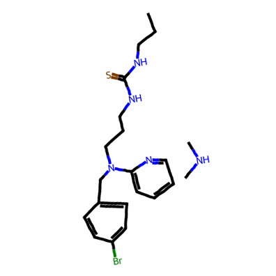 CCCNC(=S)NCCCN(Cc1ccc(Br)cc1)c1ccccn1.CNC